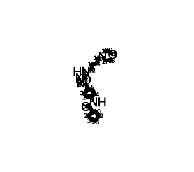 O=C(Nc1ccc(-c2nnc(NCCCCN3CCOCC3)o2)cc1)c1ccccc1